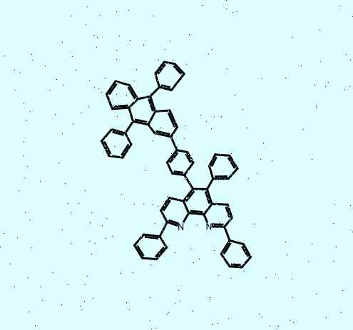 c1ccc(-c2ccc3c(-c4ccccc4)c(-c4ccc(-c5ccc6c(-c7ccccc7)c7ccccc7c(-c7ccccc7)c6c5)cc4)c4ccc(-c5ccccc5)nc4c3n2)cc1